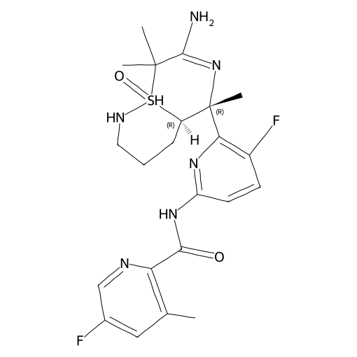 Cc1cc(F)cnc1C(=O)Nc1ccc(F)c([C@@]2(C)N=C(N)C(C)(C)[SH]3(=O)NCCC[C@H]23)n1